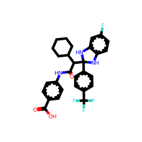 O=C(O)c1ccc(NC(=O)C(C2CCCCC2)C2(c3ccc(C(F)(F)F)cc3)Nc3ccc(F)cc3N2)cc1